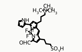 C[N+](C)(C)CCCc1cc(-c2ccc[nH]2)n2c1C=C1C(CCCS(=O)(=O)O)=CC(C=O)=[N+]1[B-]2(F)F